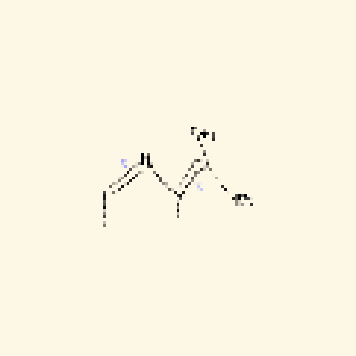 C/C=N\C(C)=C(/O)C(C)C